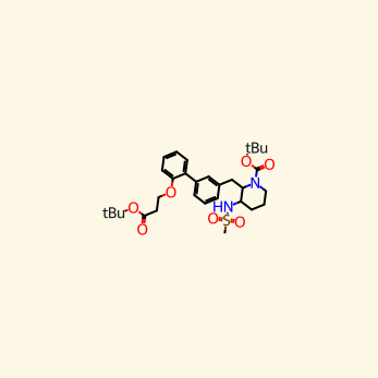 CC(C)(C)OC(=O)CCOc1ccccc1-c1cccc(CC2C(NS(C)(=O)=O)CCCN2C(=O)OC(C)(C)C)c1